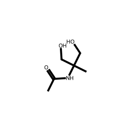 CC(=O)NC(C)(CO)CO